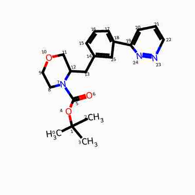 CC(C)(C)OC(=O)N1CCOCC1Cc1cccc(-c2cccnn2)c1